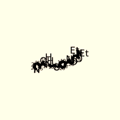 CCN(CC)C(=O)Cc1nc(-c2ccc(OCCNCC(O)c3cccnc3)cc2)co1